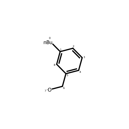 CCCCc1cccc(C[O])c1